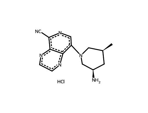 C[C@H]1C[C@@H](N)CN(c2cnc(C#N)c3nccnc23)C1.Cl